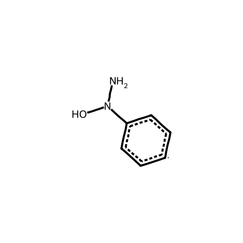 NN(O)c1cc[c]cc1